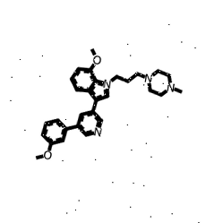 COc1cccc(-c2cncc(-c3cn(CCCN4CCN(C)CC4)c4c(OC)cccc34)c2)c1